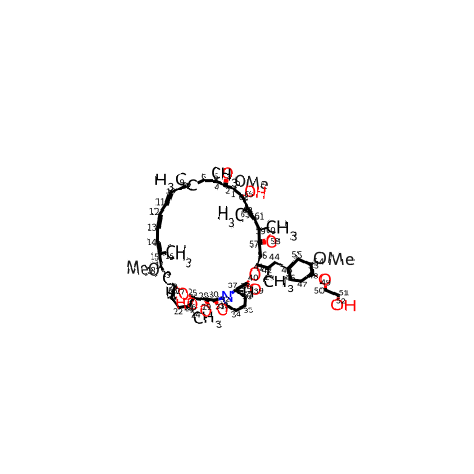 COC1C(=O)C(C)CC[C@H](C)/C=C/C=C/C=C(\C)[C@@H](OC)C[C@@H]2CC[C@@H](C)[C@@](O)(O2)C(=O)C(=O)N2CCCC[C@H]2C(=O)O[C@H]([C@H](C)C[C@@H]2CC[C@@H](OCCO)[C@H](OC)C2)CC(=O)[C@H](C)/C=C(\C)[C@H]1O